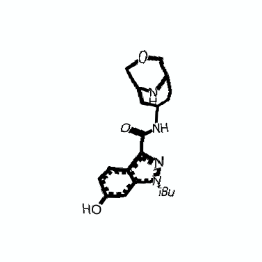 CC[C@H](C)n1nc(C(=O)NC2CC3COCC(C2)N3)c2ccc(O)cc21